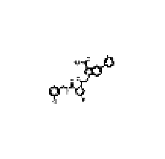 NC(=O)c1cn(CC(=O)N2C[C@H](F)C[C@H]2C(=O)NCc2cccc(Cl)c2)c2ccc(-c3ccnnc3)cc12